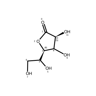 O=C1O[C@H](C(O)CO)C(O)[C@@H]1O